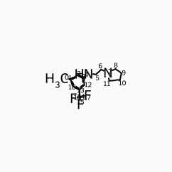 Cc1cc(NCCN2CCCC2)cc(C(F)(F)F)c1